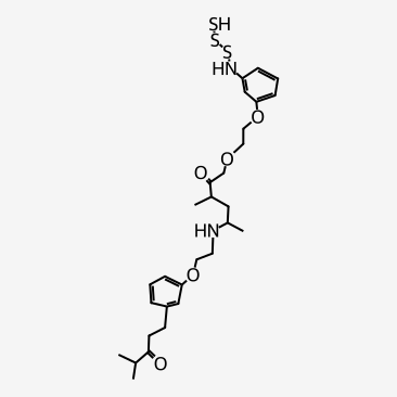 CC(CC(C)C(=O)COCCOc1cccc(NSSS)c1)NCCOc1cccc(CCC(=O)C(C)C)c1